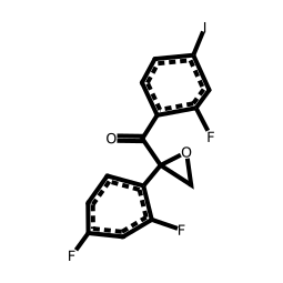 O=C(c1ccc(I)cc1F)C1(c2ccc(F)cc2F)CO1